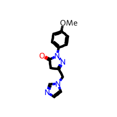 COc1ccc(N2N=C(Cn3ccnc3)CC2=O)cc1